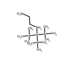 C[Si](C)(C)[Si]([SiH2]CC[SiH3])([Si](C)(C)C)[Si](C)(C)C